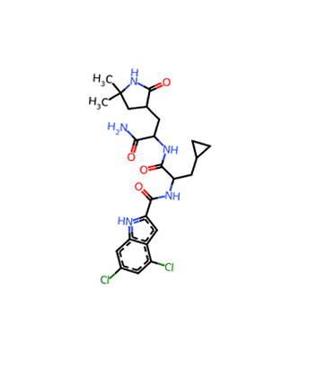 CC1(C)CC(CC(NC(=O)C(CC2CC2)NC(=O)c2cc3c(Cl)cc(Cl)cc3[nH]2)C(N)=O)C(=O)N1